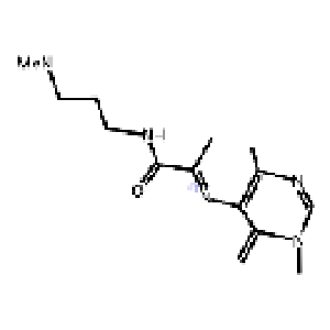 C=C1C(/N=C(\C)C(=O)NCCCNC)=C(C)N=CN1C